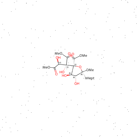 CCCCCCC[C@@]1(OC)O[C@](C(=O)OC)([C@](O)(C(=O)OC)[C@H](O)C(=O)OC)[C@H](O)[C@H]1O